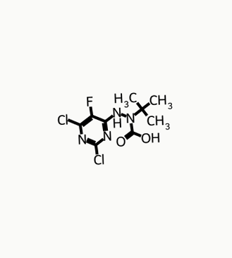 CC(C)(C)N(Nc1nc(Cl)nc(Cl)c1F)C(=O)O